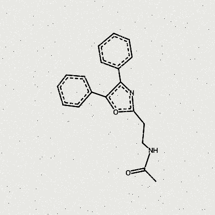 CC(=O)NCCc1nc(-c2ccccc2)c(-c2ccccc2)o1